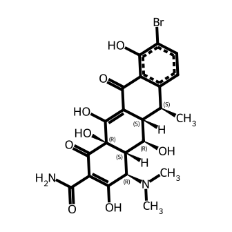 C[C@@H]1c2ccc(Br)c(O)c2C(=O)C2=C(O)[C@@]3(O)C(=O)C(C(N)=O)=C(O)[C@H](N(C)C)[C@H]3[C@H](O)[C@H]21